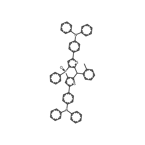 Cc1ccccc1C1c2sc(-c3ccc(N(c4ccccc4)c4ccccc4)cc3)cc2P(=O)(c2ccccc2)c2cc(-c3ccc(N(c4ccccc4)c4ccccc4)cc3)sc21